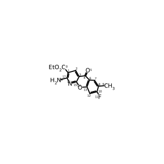 CCOC(=O)c1cc2c(=O)c3cc(C)c(F)cc3oc2nc1N